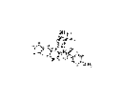 Cc1ccc(S(=O)(=O)n2ccc3c(CN4CCCC4)cccc32)cc1.O=C(O)C(F)(F)F